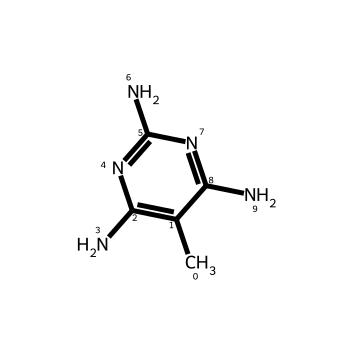 Cc1c(N)nc(N)nc1N